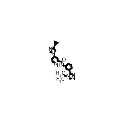 C[C@@H](n1cnnc1-c1cccc(NC(=O)c2cc(-n3cnc(C4CC4)c3)ccn2)c1)C(F)(F)F